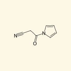 N#CCC(=O)n1cccc1